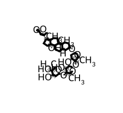 CC1OC(O[C@@H]2C(C)OC(O[C@@H]3C(C)OC(O[C@H]4CCC5(C)C6CCC7(C)[C@@H](C8=CC(=O)OC8)CC[C@]7(O)C6CC[C@@H]5C4)C[C@H]3O)C[C@H]2O)C[C@@H](O)[C@@H]1O